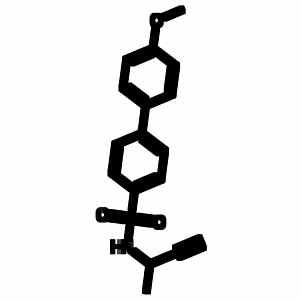 C#CC(C)NS(=O)(=O)c1ccc(-c2ccc(OC)cc2)cc1